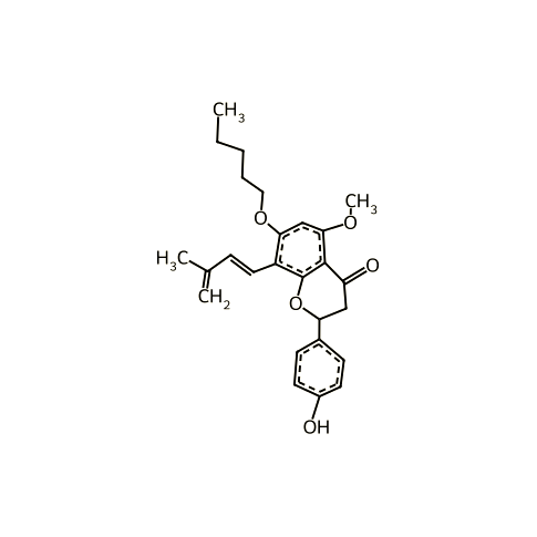 C=C(C)C=Cc1c(OCCCCC)cc(OC)c2c1OC(c1ccc(O)cc1)CC2=O